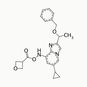 CC(OCc1ccccc1)c1cn2cc(C3CC3)cc(NOC(=O)C3COC3)c2n1